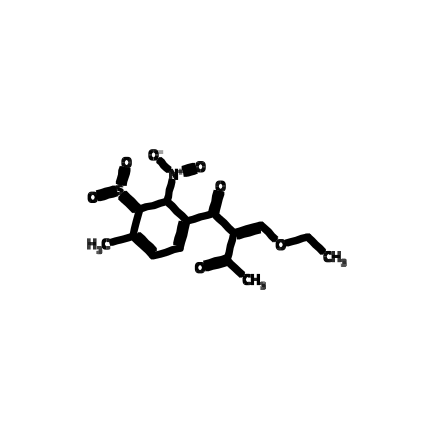 CCOC=C(C(C)=O)C(=O)C1=CC=C(C)C(=S(=O)=O)C1[N+](=O)[O-]